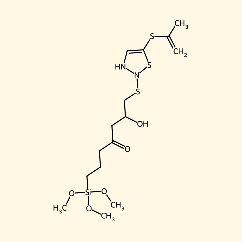 C=C(C)SC1=CNN(SCC(O)CC(=O)CCC[Si](OC)(OC)OC)S1